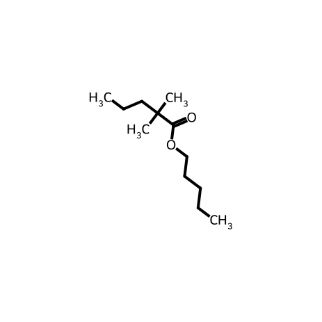 CCCCCOC(=O)C(C)(C)CCC